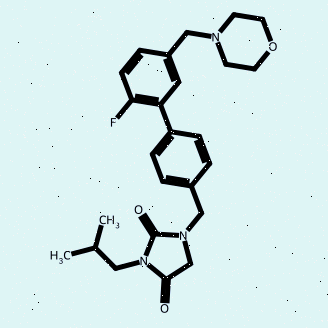 CC(C)CN1C(=O)CN(Cc2ccc(-c3cc(CN4CCOCC4)ccc3F)cc2)C1=O